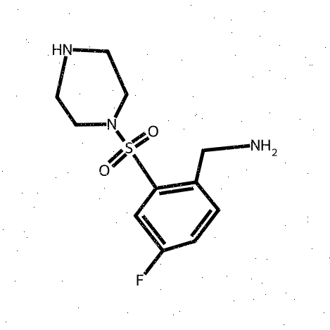 NCc1ccc(F)cc1S(=O)(=O)N1CCNCC1